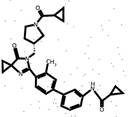 Cc1cc(-c2cccc(NC(=O)C3CC3)c2)ccc1C1=NC2(CC2)C(=O)N1C[C@@H]1CCN(C(=O)C2CC2)C1